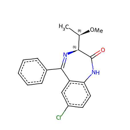 CO[C@H](C)[C@@H]1N=C(c2ccccc2)c2cc(Cl)ccc2NC1=O